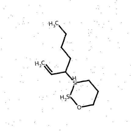 C=CC(CCCC)[SiH]1CCCO[SiH2]1